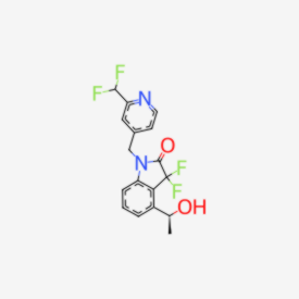 C[C@H](O)c1cccc2c1C(F)(F)C(=O)N2Cc1ccnc(C(F)F)c1